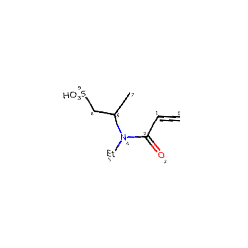 C=CC(=O)N(CC)C(C)CS(=O)(=O)O